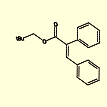 CC(C)(C)COC(=O)C(=Cc1ccccc1)c1ccccc1